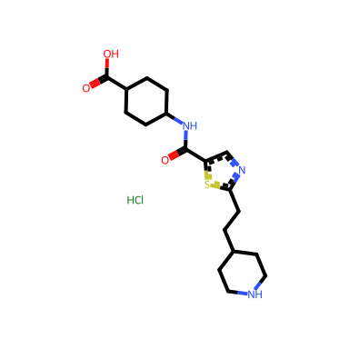 Cl.O=C(NC1CCC(C(=O)O)CC1)c1cnc(CCC2CCNCC2)s1